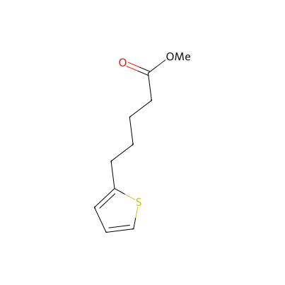 COC(=O)CCCCc1cccs1